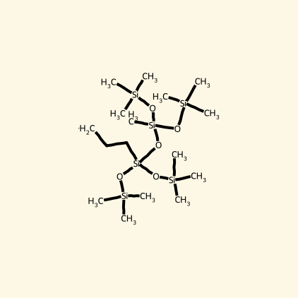 [CH2]CC[Si](O[Si](C)(C)C)(O[Si](C)(C)C)O[Si](C)(O[Si](C)(C)C)O[Si](C)(C)C